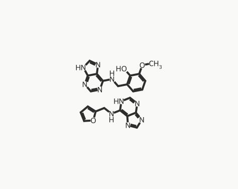 COc1cccc(CNc2ncnc3[nH]cnc23)c1O.c1coc(CNc2[nH]cnc3ncnc2-3)c1